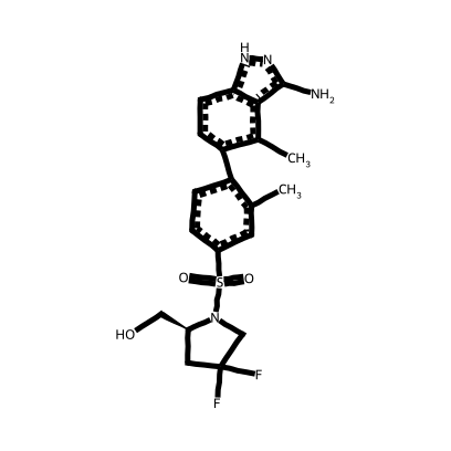 Cc1cc(S(=O)(=O)N2CC(F)(F)C[C@H]2CO)ccc1-c1ccc2[nH]nc(N)c2c1C